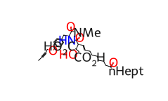 CC#CCOc1ccc(C[C@H](NC(=O)[C@@H](C=CCCCCCCC(=O)CCCCCCC)[C@@](O)(CC(=O)O)C(=O)O)C(=O)NC)cc1